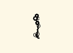 CCC(C)(C)C(=O)OCCCCCOc1ccc(C2=C(F)c3ccccc3CCC2)cc1